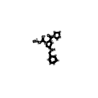 CC(C)(C)OC(=O)N1CC(NCc2ccccc2)CC1C(=O)N1CCSC1